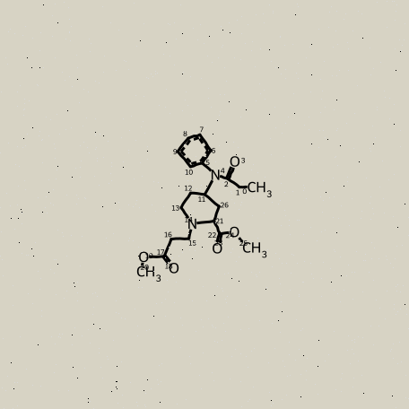 CCC(=O)N(c1ccccc1)C1CCN(CCC(=O)OC)C(C(=O)OC)C1